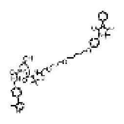 Cc1ncsc1-c1ccc(CNC(=O)[C@@H]2C[C@@H](O)CN2C(=O)[C@@H](NC(=O)COCCCOCCCCCOc2ccc(N3C(=O)N(c4ccccc4)C(=O)C3(C)C)cc2)C(C)(C)C)cc1